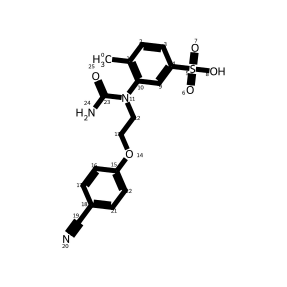 Cc1ccc(S(=O)(=O)O)cc1N(CCOc1ccc(C#N)cc1)C(N)=O